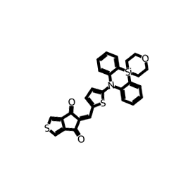 O=C1C(=Cc2ccc(N3c4ccccc4[Si]4(CCOCC4)c4ccccc43)s2)C(=O)c2cscc21